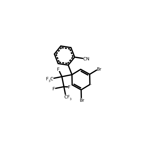 N#Cc1ccccc1C1(C(F)(C(F)(F)F)C(F)(F)C(F)(F)F)C=C(Br)[CH]C(Br)=C1